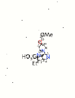 CCc1cc2cncc(N3CCC(OCCOC)CC3)c2nc1C(=O)O